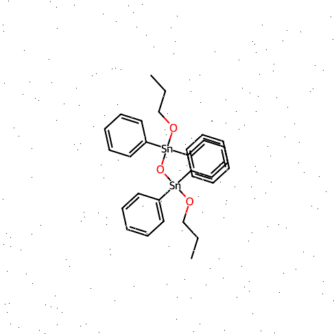 CCC[O][Sn]([O][Sn]([O]CCC)([c]1ccccc1)[c]1ccccc1)([c]1ccccc1)[c]1ccccc1